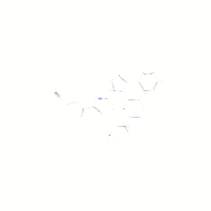 C#CCNC(=O)c1csc(-c2nccn2C2CN(C(=O)OC(C)(C)C)CCC2c2ccc(F)cc2)n1